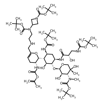 C=C(C)OC(=O)N[C@@H]1CC=C(CNCCN(C(=O)OC(C)(C)C)C2CN(C(=O)OC(C)(C)C)C2)OC1[C@H]1[C@H](O)[C@@H](O[C@H]2OC[C@](C)(O)[C@H](N(C)C(=O)OC(C)(C)C)[C@H]2O)[C@H](NC(=O)[C@@H](O)CNC(=O)OC(C)(C)C)C[C@@H]1NC(=O)OC(C)(C)C